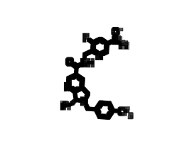 CC[S+]([O-])c1cnc(CNC(=O)c2cnc3c(c2)CN(Cc2ccc(C(F)(F)F)cc2)[C@H]3C(C)C)c(F)c1